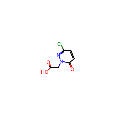 O=C(O)Cn1nc(Cl)ccc1=O